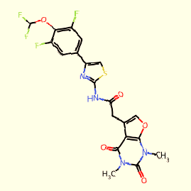 Cn1c(=O)c2c(CC(=O)Nc3nc(-c4cc(F)c(OC(F)F)c(F)c4)cs3)coc2n(C)c1=O